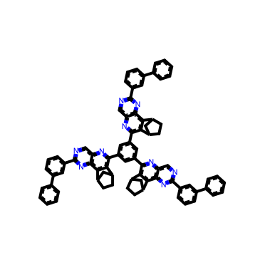 c1ccc(-c2cccc(-c3ncc4nc(-c5cc(-c6nc7cnc(-c8cccc(-c9ccccc9)c8)nc7c7c6C6CCC7C6)cc(-c6nc7cnc(-c8cccc(-c9ccccc9)c8)nc7c7c6C6CCC7C6)c5)c5c(c4n3)C3CCC5C3)c2)cc1